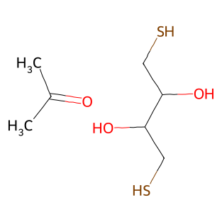 CC(C)=O.OC(CS)C(O)CS